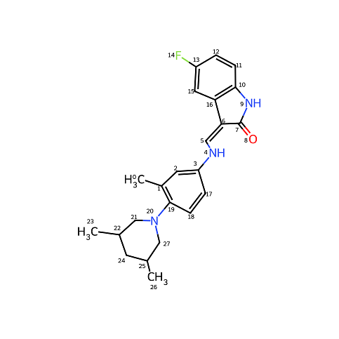 Cc1cc(NC=C2C(=O)Nc3ccc(F)cc32)ccc1N1CC(C)CC(C)C1